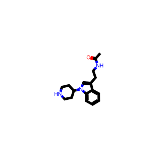 CC(=O)NCCc1cn(C2CCNCC2)c2ccccc12